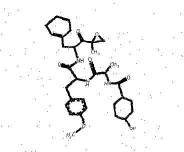 COc1ccc(CC(NC(=O)C(C)NC(=O)C2CCC(O)CC2)C(=O)NC(CC2=CCCCC2)C(=O)C2(C)CO2)cc1